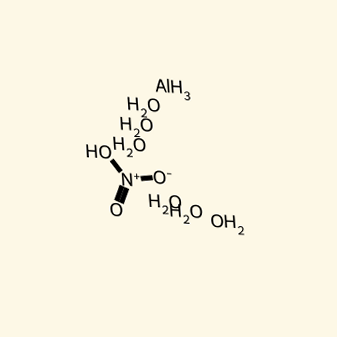 O.O.O.O.O.O.O=[N+]([O-])O.[AlH3]